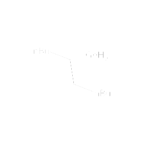 CCCCCCCCCC.[GeH4]